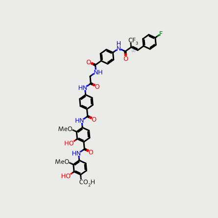 COc1c(NC(=O)c2ccc(NC(=O)c3ccc(NC(=O)CNC(=O)c4ccc(NC(=O)/C(=C/c5ccc(F)cc5)C(F)(F)F)cc4)cc3)c(OC)c2O)ccc(C(=O)O)c1O